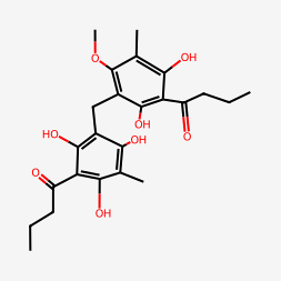 CCCC(=O)c1c(O)c(C)c(O)c(Cc2c(O)c(C(=O)CCC)c(O)c(C)c2OC)c1O